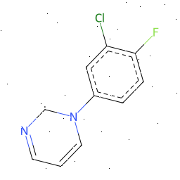 Fc1ccc(N2[CH]N=CC=C2)cc1Cl